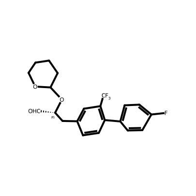 O=C[C@@H](Cc1ccc(-c2ccc(F)cc2)c(C(F)(F)F)c1)OC1CCCCO1